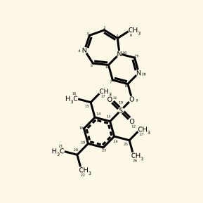 CC1=CC=NC=C2C=C(OS(=O)(=O)c3c(C(C)C)cc(C(C)C)cc3C(C)C)N=CN12